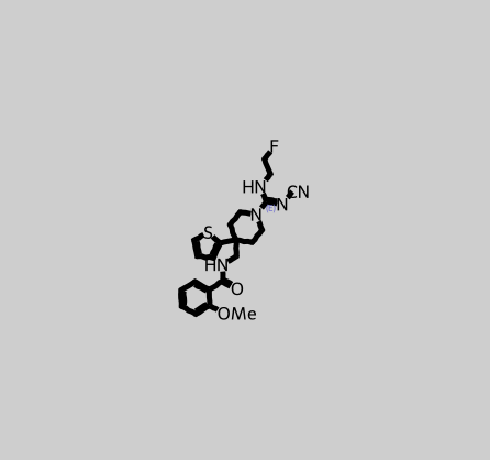 COc1ccccc1C(=O)NCC1(c2cccs2)CCN(/C(=N/C#N)NCCF)CC1